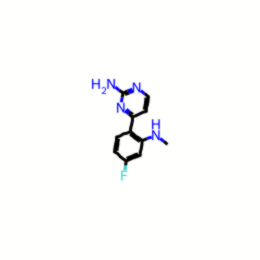 CNc1cc(F)ccc1-c1ccnc(N)n1